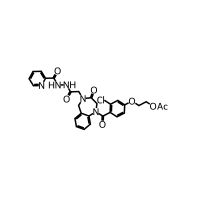 CC(=O)OCCOc1ccc(C(=O)N2CC(=O)N(CC(=O)NNC(=O)c3ccccn3)Cc3ccccc32)c(Cl)c1